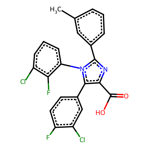 Cc1cccc(-c2nc(C(=O)O)c(-c3ccc(F)c(Cl)c3)n2-c2cccc(Cl)c2F)c1